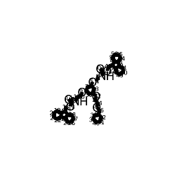 O=C(NCCOc1cc(OCCNC(=O)OCC2c3ccccc3-c3ccccc32)cc(OCCOCc2ccccc2)c1)OCC1c2ccccc2-c2ccccc21